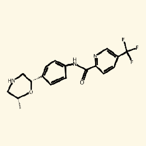 C[C@@H]1CNC[C@H](c2ccc(NC(=O)c3ccc(C(F)(F)F)cn3)cc2)O1